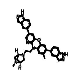 Cc1cc2c(cc1-c1ccc3[nH]ncc3c1)Oc1cc(-c3ccc4[nH]ncc4c3)cnc1N2CCN1C[C@@H]2C[C@H]1CN2C